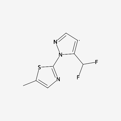 Cc1cnc(-n2nc[c]c2C(F)F)s1